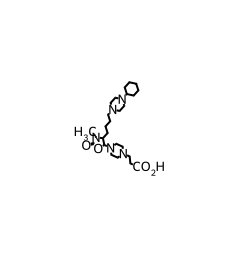 CN1C(=O)OC(N2CCN(CCC(=O)O)CC2)C1CCCCN1CCN(C2CCCCC2)CC1